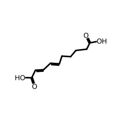 O=C(O)/C=C/C=C/CCCCC(=O)O